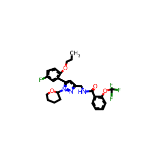 CCCOc1ccc(F)cc1-c1cc(CNC(=O)c2ccccc2OC(F)(F)F)nn1C1CCCCO1